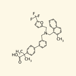 Cc1ccc2ccccc2c1CN(Cc1cccc(-c2ccc(C(C)(C)C(=O)O)cc2)c1)Cc1ccc(C(F)(F)F)o1